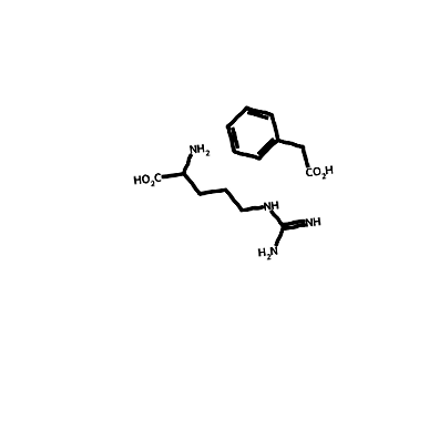 N=C(N)NCCCC(N)C(=O)O.O=C(O)Cc1ccccc1